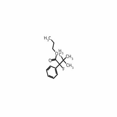 CCCOC(=O)C(F)(c1ccccc1)C(C)(C)C